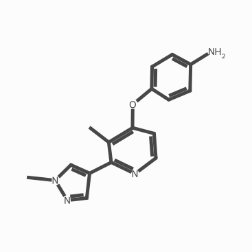 Cc1c(Oc2ccc(N)cc2)ccnc1-c1cnn(C)c1